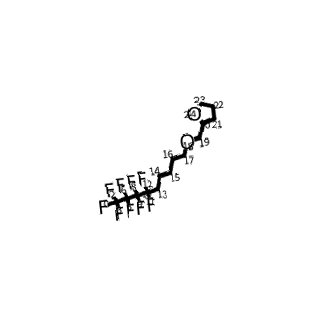 FC(F)(F)C(F)(F)C(F)(F)C(F)(F)CCCCCOCC1CCCO1